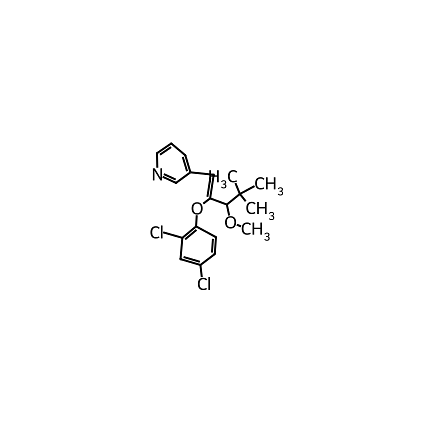 COC(C(=Cc1cccnc1)Oc1ccc(Cl)cc1Cl)C(C)(C)C